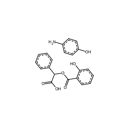 Nc1ccc(O)cc1.O=C(OC(C(=O)O)c1ccccc1)c1ccccc1O